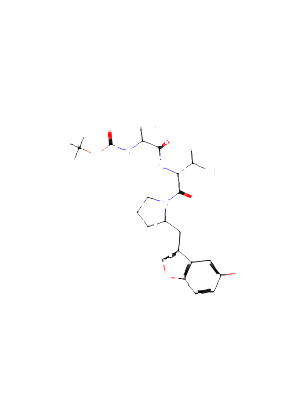 CC(NC(=O)OC(C)(C)C)C(=O)NC(C(=O)N1CCCC1Cc1coc2ccc(O)cc12)C(C)C